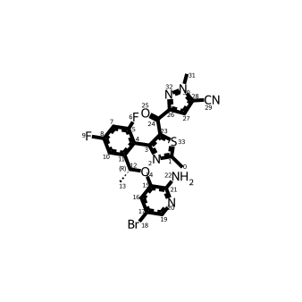 Cc1nc(-c2c(F)cc(F)cc2[C@@H](C)Oc2cc(Br)cnc2N)c(C(=O)c2cc(C#N)n(C)n2)s1